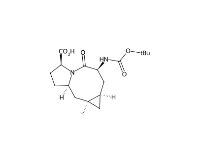 CC(C)(C)OC(=O)N[C@H]1C[C@H]2C[C@@]2(C)C[C@H]2CC[C@@H](C(=O)O)N2C1=O